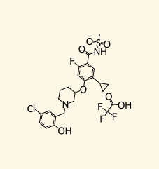 CS(=O)(=O)NC(=O)c1cc(C2CC2)c(OC2CCCN(Cc3cc(Cl)ccc3O)C2)cc1F.O=C(O)C(F)(F)F